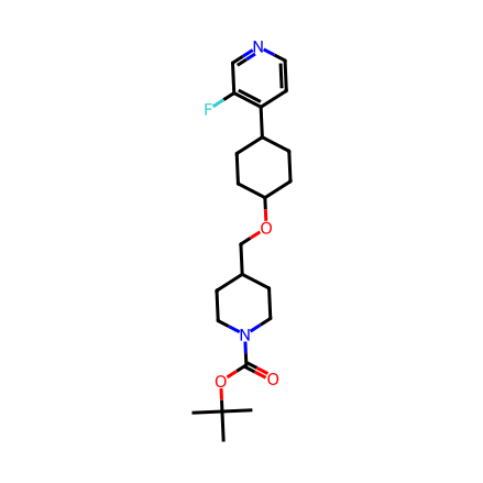 CC(C)(C)OC(=O)N1CCC(COC2CCC(c3ccncc3F)CC2)CC1